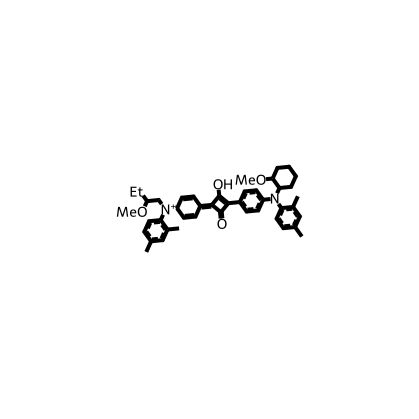 CCC(C[N+](=C1C=CC(=C2C(=O)C(c3ccc(N(c4ccc(C)cc4C)C4CCCCC4OC)cc3)=C2O)C=C1)c1ccc(C)cc1C)OC